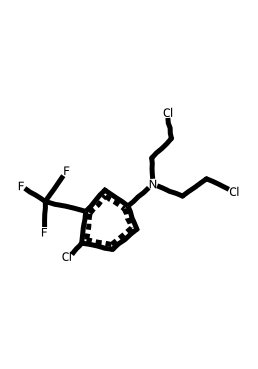 FC(F)(F)c1cc(N(CCCl)CCCl)ccc1Cl